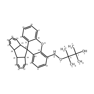 CC(C)(O)C(C)(C)OBc1cccc2c1Oc1ccccc1C21C2C=CC=CC2C2C=CC=CC21